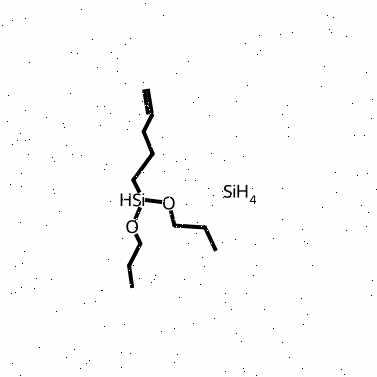 C=CCCC[SiH](OCCC)OCCC.[SiH4]